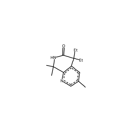 CCC1(CC)C(=O)NC(C)(C)c2ncc(C)cc21